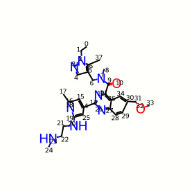 CCn1ncc(CN(C)C(=O)c2nc(-c3cc(C)nc(NCCNC)c3)nc3ccc(COC)cc23)c1C